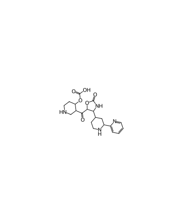 O=C(O)OC1CCNCC1C(=O)C1OC(=O)NC1C1CCNC(c2ccccn2)C1